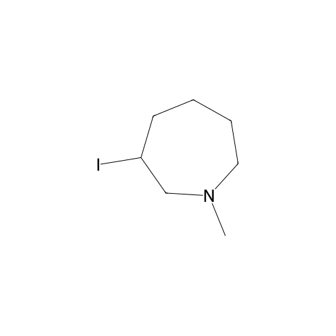 CN1CCCCC(I)C1